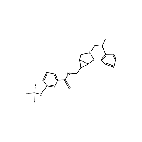 CC(CN1CC2C(CNC(=O)c3cccc(OC(F)(F)F)c3)C2C1)c1ccccc1